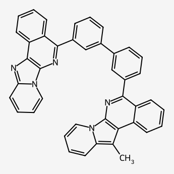 Cc1c2c3ccccc3c(-c3cccc(-c4cccc(-c5nc6c(nc7ccccn76)c6ccccc56)c4)c3)nc2n2ccccc12